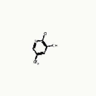 Oc1cc(C(F)(F)F)cnc1Cl